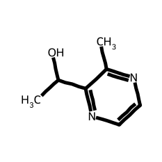 Cc1nccnc1C(C)O